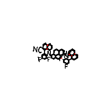 N#Cc1ccccc1-c1cc(F)cc(F)c1N(c1ccccc1)c1ccc2ccc3c(N(c4ccccc4)c4c(F)cc(F)cc4-c4ccccc4C#N)ccc4ccc1c2c43